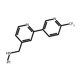 CC(C)NCc1ccnc(-c2ccc(C(F)(F)F)nc2)c1